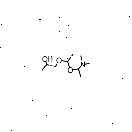 CC(O)COC(C)OC(C)N(C)C